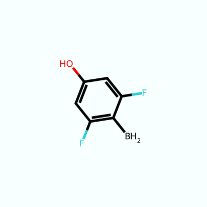 Bc1c(F)cc(O)cc1F